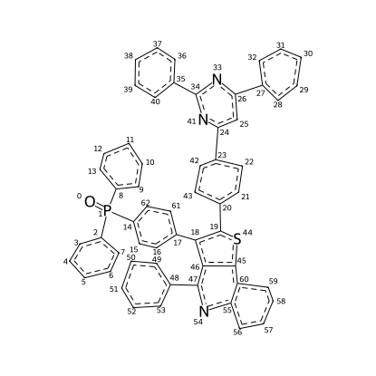 O=P(c1ccccc1)(c1ccccc1)c1ccc(-c2c(-c3ccc(-c4cc(-c5ccccc5)nc(-c5ccccc5)n4)cc3)sc3c2c(-c2ccccc2)nc2ccccc23)cc1